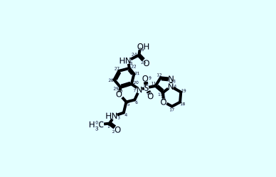 CC(=O)NCC1CN(S(=O)(=O)c2cnn3c2OCCC3)c2cc(NC(=O)O)ccc2O1